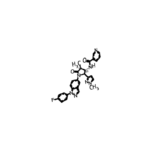 C[C@@H]1C(=O)N(c2ccc3c(cnn3-c3ccc(F)cc3)c2)C(c2ccn(C)n2)[C@H]1NC(=O)c1cccnc1